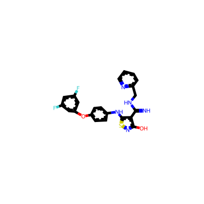 N=C(NCc1ccccn1)c1c(O)nsc1Nc1ccc(Oc2cc(F)cc(F)c2)cc1